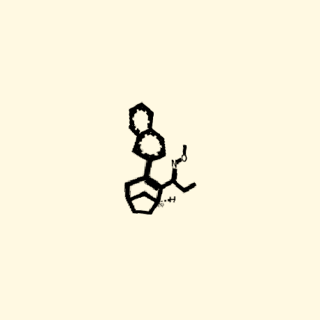 CCC(=NOC)C1=C(c2ccc3ccccc3c2)CC2CC[C@H]1C2